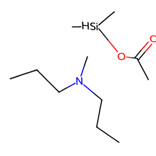 CC(=O)O[SiH](C)C.CCCN(C)CCC